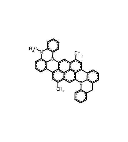 Cc1cc2c3c(cc4c(C)cc5c6c(cc1c3c46)B1c3ccccc3N(C)c3cccc-5c31)B1c3ccccc3Cc3cccc-2c31